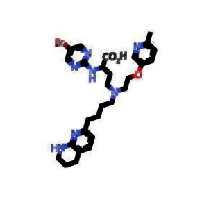 Cc1ccc(OCCN(CCCCc2ccc3c(n2)NCCC3)CCC(Nc2ncc(Br)cn2)C(=O)O)cn1